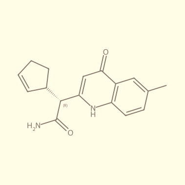 Cc1ccc2[nH]c([C@H](C(N)=O)C3C=CCC3)cc(=O)c2c1